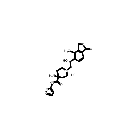 Cc1c([C@@H](O)CN2CCC(N)(C(=O)Nc3ccns3)CC2)ccc2c1COC2=O.Cl